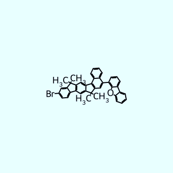 CC1(C)c2cc(Br)ccc2-c2cc3c(cc21)-c1c(cc(-c2cccc4c2oc2ccccc24)c2ccccc12)C3(C)C